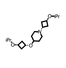 CC(C)O[C@H]1C[C@H](OC2CCN([C@H]3C[C@H](OC(C)C)C3)CC2)C1